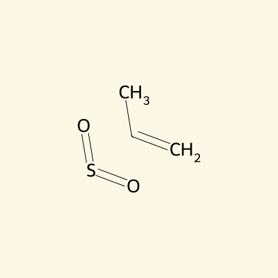 C=CC.O=S=O